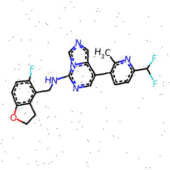 Cc1nc(C(F)F)ccc1-c1cnc(NCc2c(F)ccc3c2CCO3)n2cncc12